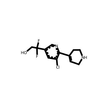 OCC(F)(F)c1cnc(C2=CCNCC2)c(Cl)c1